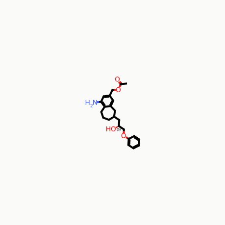 CC(=O)OCc1cc(N)c2c(c1)CC(C[C@H](O)COc1ccccc1)CCC2